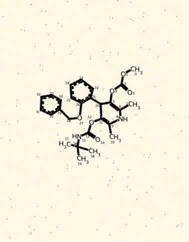 COC(=O)OC1=C(C)NC(C)=C(OC(=O)NC(C)(C)C)C1c1ccccc1OCc1ccccc1